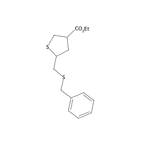 CCOC(=O)C1CSC(CSCc2ccccc2)C1